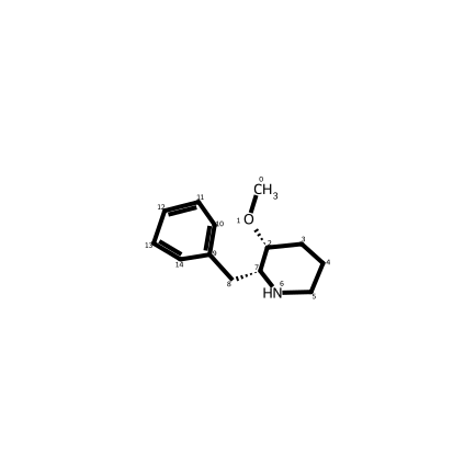 CO[C@@H]1CCCN[C@@H]1Cc1ccccc1